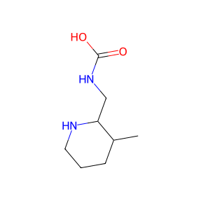 CC1CCCNC1CNC(=O)O